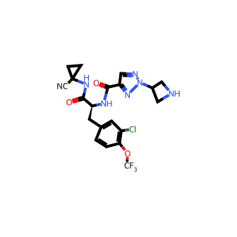 N#CC1(NC(=O)[C@H](Cc2ccc(OC(F)(F)F)c(Cl)c2)NC(=O)c2cnn(C3CNC3)n2)CC1